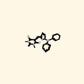 C=c1n(C)c(=O)c(=Cc2ccc(N(C3=CCCC=C3)c3ccccc3)s2)c(=O)n1C